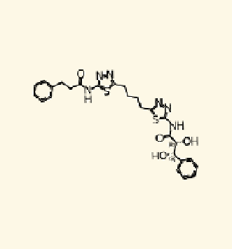 O=C(CCc1ccccc1)Nc1nnc(CCCCc2nnc(NC(=O)[C@H](O)[C@@H](O)c3ccccc3)s2)s1